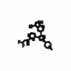 CN1CCC(n2cc(-c3ccnc(NCC(F)F)n3)c(-c3cnc4[nH]cc(Cl)c4c3)n2)CC1